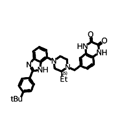 CC[C@H]1CN(c2cccc3nc(-c4ccc(C(C)(C)C)cc4)[nH]c23)CCN1Cc1ccc2[nH]c(=O)c(=O)[nH]c2c1